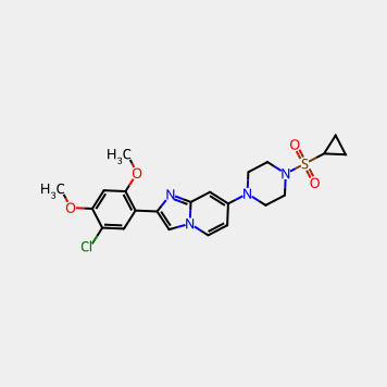 COc1cc(OC)c(-c2cn3ccc(N4CCN(S(=O)(=O)C5CC5)CC4)cc3n2)cc1Cl